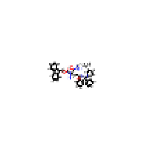 O=C(O)CNC(=O)[C@H](CCC(=O)NC(c1ccccc1)(c1ccccc1)c1ccccc1)NC(=O)OCC1c2ccccc2-c2ccccc21